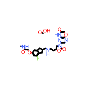 CNC(=O)COc1cc(F)c2c(c1)CC(CNCCC1CN(c3cnc4c(n3)NC(=O)CO4)C(=O)O1)C2.O=CO